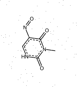 Cn1c(=O)[nH]cc(N=O)c1=O